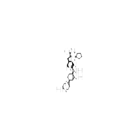 CN(C)C(=O)c1cc2cnc(NC3CCC(N4CCNCC4)CN3)nc2n1C1CCCC1